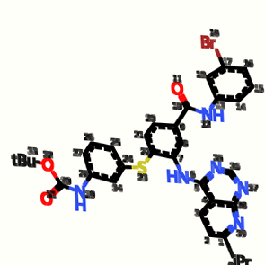 CC(C)c1ccc2c(Nc3cc(C(=O)Nc4cccc(Br)c4)ccc3Sc3cccc(NC(=O)OC(C)(C)C)c3)ncnc2n1